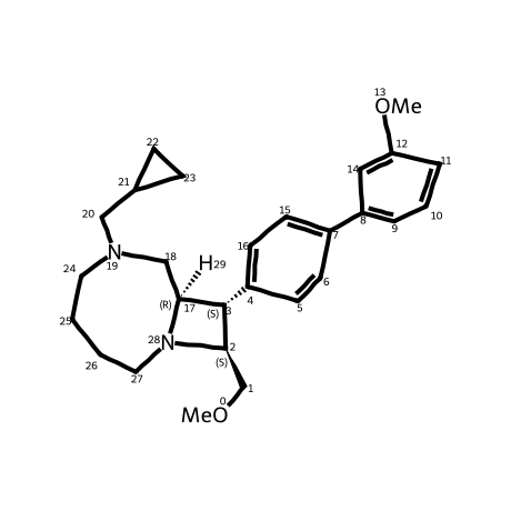 COC[C@@H]1[C@@H](c2ccc(-c3cccc(OC)c3)cc2)[C@@H]2CN(CC3CC3)CCCCN12